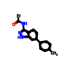 CCC(=O)Nc1n[nH]c2cc(-c3ccc(C)cc3)ccc12